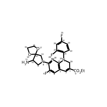 CCOC(=O)C1=Cc2cc(F)c(N3CC(N)C4(C3)OCCO4)nc2N(c2ccc(F)cc2F)C1